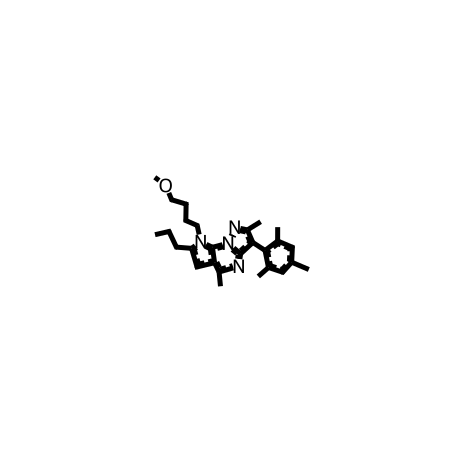 CCCc1cc2c(C)nc3c(-c4c(C)cc(C)cc4C)c(C)nn3c2n1CCCCOC